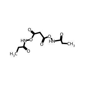 CCC(=O)NOC(=O)CC(=O)ONC(=O)CC